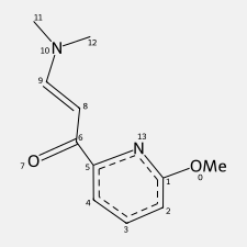 COc1cccc(C(=O)C=CN(C)C)n1